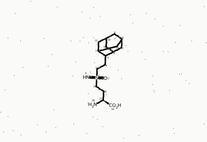 N=S(=O)(CCC1C2CC3CC(C2)CC1C3)CC[C@H](N)C(=O)O